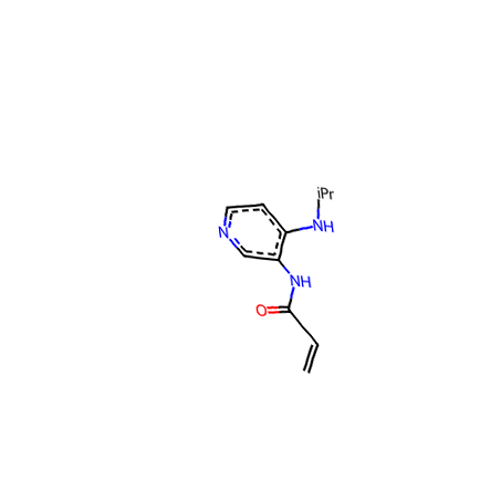 C=CC(=O)Nc1cnccc1NC(C)C